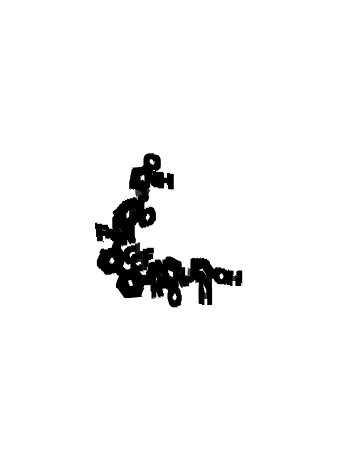 O=C1CC[C@@H](Cn2ccn3c(F)c(-c4cccc(-c5cccc(-c6nc7c(=O)n(C[C@@H]8CCC(O)N8)ccn7c6F)c5Cl)c4Cl)nc3c2=O)N1